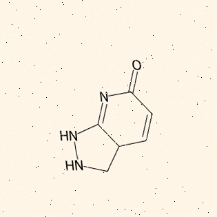 O=C1C=CC2CNNC2=N1